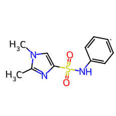 Cc1nc(S(=O)(=O)Nc2cc[c]cc2)cn1C